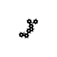 c1ccc(-n2c3ccccc3c3cc4c(ccc5cc(-c6cccc7c6sc6ccccc67)ccc54)cc32)cc1